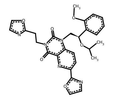 COc1ccccc1[C@H](Cn1c(=O)n(CCc2ncco2)c(=O)c2nc(-c3ncco3)ccc21)OC(C)C